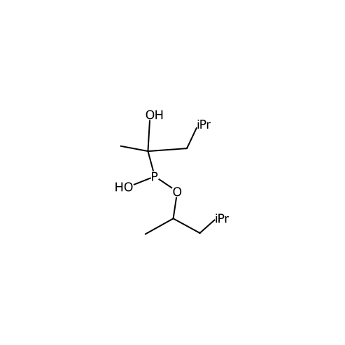 CC(C)CC(C)OP(O)C(C)(O)CC(C)C